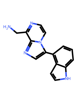 NCc1nccn2c(-c3cccc4[nH]ccc34)cnc12